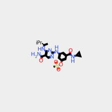 CC(C)[C@@H](C)Nc1nc(Nc2cc(OS(C)(=O)=O)cc(C(=O)NC3CC3)c2)ncc1C(N)=O